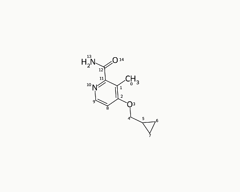 Cc1c(OCC2CC2)ccnc1C(N)=O